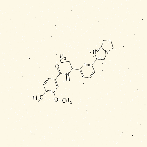 CCC(NC(=O)c1ccc(C)c(OC)c1)c1cccc(-c2cn3c(n2)CCC3)c1